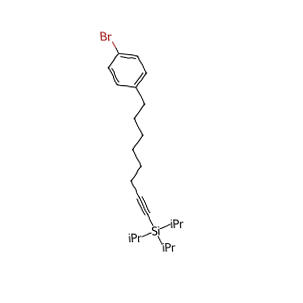 CC(C)[Si](C#CCCCCCCc1ccc(Br)cc1)(C(C)C)C(C)C